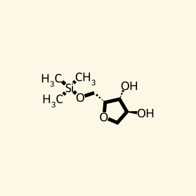 C[Si](C)(C)OC[C@H]1OC[C@H](O)[C@H]1O